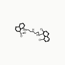 O=[N+]([O-])c1cccc2cccc(NCCNCCNc3c(Cl)ccc4cccc(Cl)c34)c12